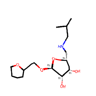 CC(C)CNC[C@H]1O[C@H](OCC2CCCO2)[C@@H](O)[C@H]1O